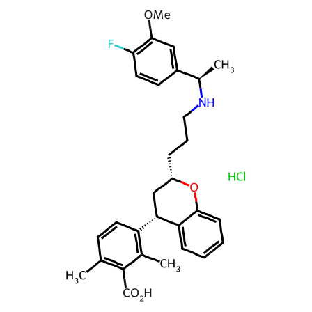 COc1cc([C@@H](C)NCCC[C@H]2C[C@@H](c3ccc(C)c(C(=O)O)c3C)c3ccccc3O2)ccc1F.Cl